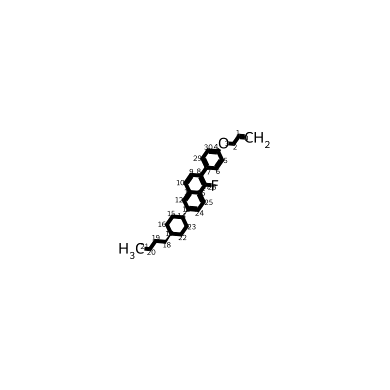 C=CCOc1ccc(-c2ccc3cc([C@H]4CC[C@H](CCCC)CC4)ccc3c2F)cc1